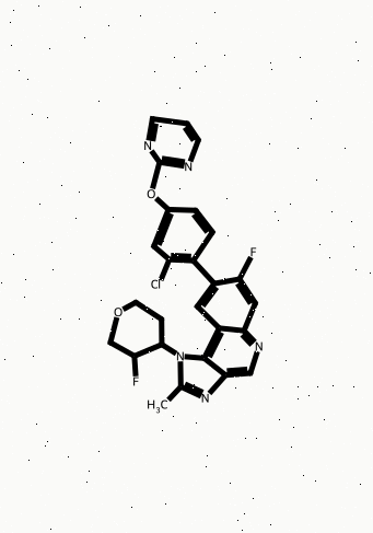 Cc1nc2cnc3cc(F)c(-c4ccc(Oc5ncccn5)cc4Cl)cc3c2n1C1CCOCC1F